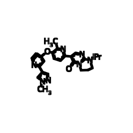 Cc1nc(-c2cnc3n(c2=O)CCCN3C(C)C)ccc1Oc1c#cnc(-c2cnn(C)c2)c1